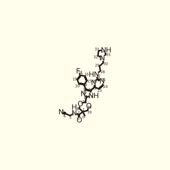 CC1(C(=O)NCC#N)COC(c2nc(-c3ccc(F)cc3)c(-c3ccnc(NCCCN4CCNC4)n3)[nH]2)OC1